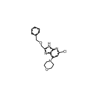 Clc1cc(N2CCOCC2)c2nc(COCc3ccccc3)[nH]c2n1